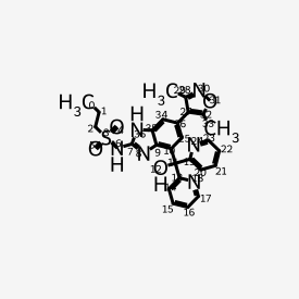 CCCS(=O)(=O)Nc1nc2c(C(O)(c3ccccn3)c3ccccn3)cc(-c3c(C)noc3C)cc2[nH]1